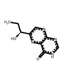 CC[C@H](O)c1cnc2nc[nH]c(=O)c2n1